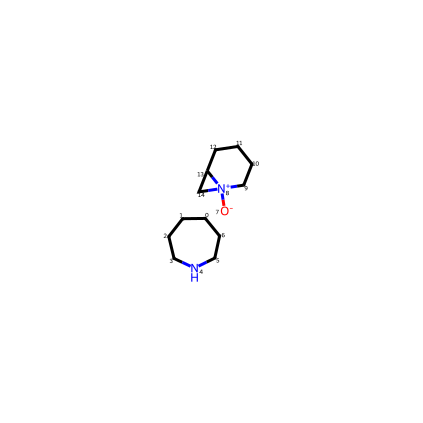 C1CCCNCC1.[O-][N+]12CCCCC1C2